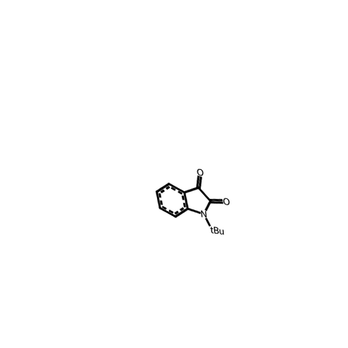 CC(C)(C)N1C(=O)C(=O)c2ccccc21